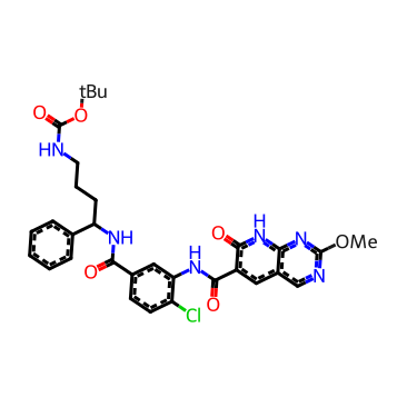 COc1ncc2cc(C(=O)Nc3cc(C(=O)NC(CCCNC(=O)OC(C)(C)C)c4ccccc4)ccc3Cl)c(=O)[nH]c2n1